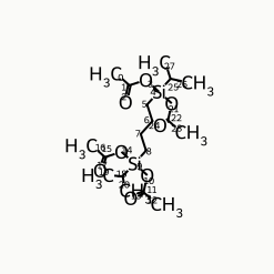 CC(=O)O[Si](CCCC[Si](OC(C)=O)(OC(C)=O)C(C)C)(OC(C)=O)C(C)C